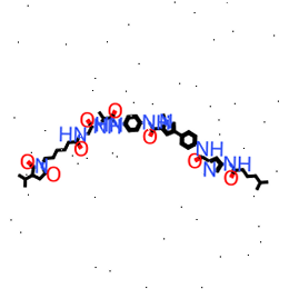 CC(C)CCCC(=O)Nc1cc(C(=O)Nc2ccc(-c3cc(C(=O)Nc4ccc(NC(=O)C(C)NC(=O)CNC(=O)CCCCCN5C(=O)CC(C(C)C)C5=O)cc4)n(C)c3)cc2)n(C)c1